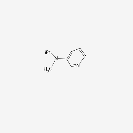 CC(C)N(C)c1cccnc1